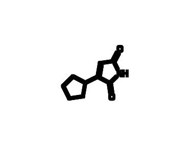 O=C1C=C(C2CCCC2)C(=O)N1